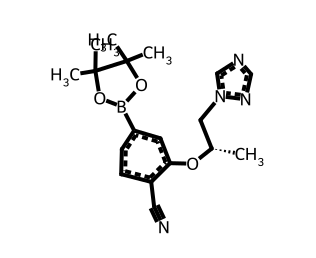 C[C@@H](Cn1cncn1)Oc1cc(B2OC(C)(C)C(C)(C)O2)ccc1C#N